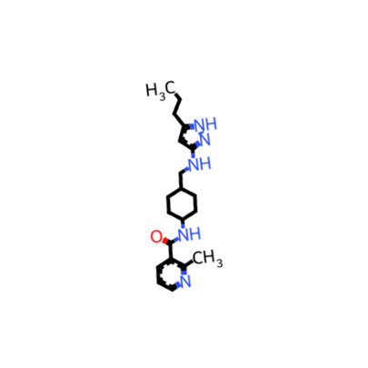 CCCc1cc(NCC2CCC(NC(=O)c3cccnc3C)CC2)n[nH]1